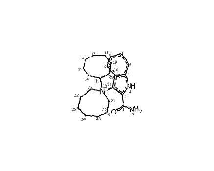 NC(=O)c1[nH]c2ccccc2c1[N+]1(C2CCCCCCC2)CCCCCCC1